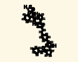 COC(=O)NC(C(=O)N1CCCC1c1nc(CCc2ccc(-c3c[nH]c([C@@H]4CCCN4C(=O)[CH]c4ccccc4)n3)cc2)c[nH]1)c1ccccc1